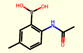 CC(=O)Nc1ccc(C)cc1B(O)O